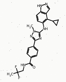 Cn1nc(-c2ccc(C(=O)NCC(C)(F)F)cc2)nc1Nc1ccc2[nH]ncc2c1C1CC1